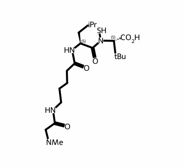 CNCC(=O)NCCCCC(=O)N[C@@H](CC(C)C)C(=O)N(S)[C@H](C(=O)O)C(C)(C)C